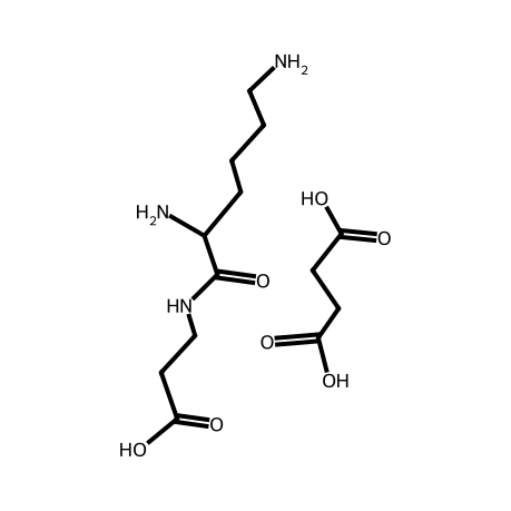 NCCCCC(N)C(=O)NCCC(=O)O.O=C(O)CCC(=O)O